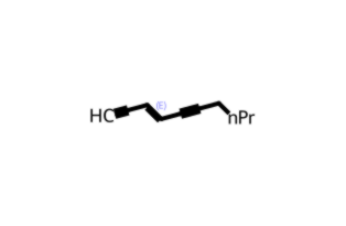 C#C/C=C/C#CCCCC